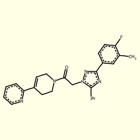 Cc1cc(-c2nc(C(C)C)n(CC(=O)N3CC=C(c4ccccn4)CC3)n2)ccc1F